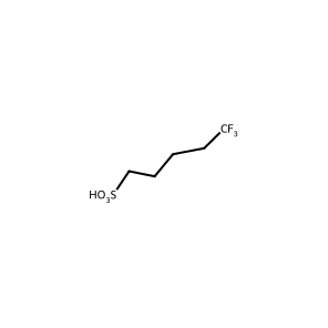 O=S(=O)(O)CCCCC(F)(F)F